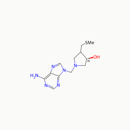 CSCC1CN(Cn2cnc3c(N)ncnc32)C[C@@H]1O